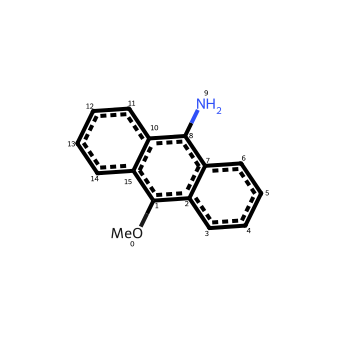 COc1c2ccccc2c(N)c2ccccc12